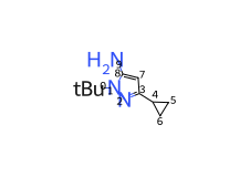 CC(C)(C)n1nc(C2CC2)cc1N